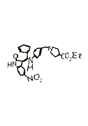 CCOC(=O)C1CCN(Cc2ccc(NC(=C3C(=O)Nc4ccc([N+](=O)[O-])cc43)c3ccccc3)cc2)CC1